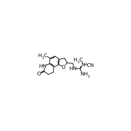 Cc1cc2c(c3c1NC(=O)CC3)OC(CNC(N)=[N+](C)C#N)C2